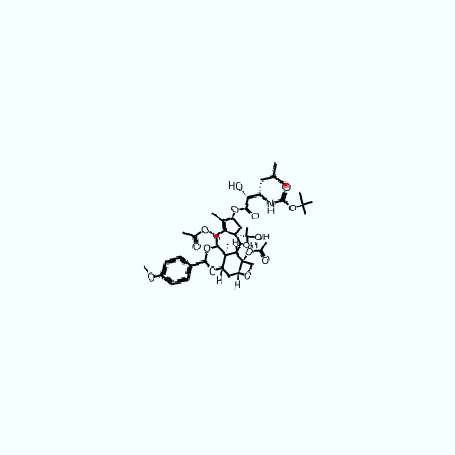 COc1ccc(C2O[C@H]3C[C@H]4OC[C@@]4(OC(C)=O)[C@H]4[C@H](O)[C@]5(C(C)(C)O)C[C@H](OC(=O)[C@H](O)[C@H](CC(C)C)NC(=O)OC(C)(C)C)C(C)=C5[C@H](OC(C)=O)[C@H](O2)[C@]34C)cc1